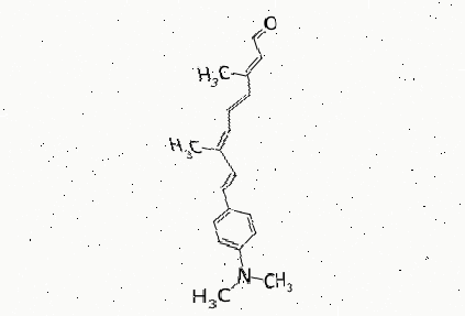 CC(/C=C/C=C(C)/C=C/c1ccc(N(C)C)cc1)=C\C=O